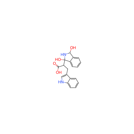 O=C(O)C(Cc1c[nH]c2ccccc12)C1(O)NC(O)c2ccccc21